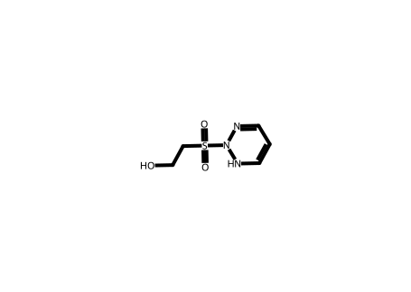 O=S(=O)(CCO)N1N=CC=CN1